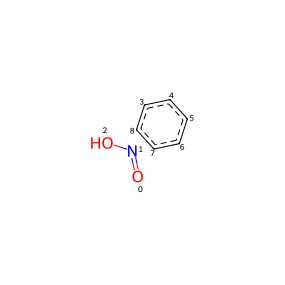 O=NO.c1ccccc1